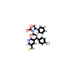 O=C(C[C@@H](c1ccc(Cl)cc1)c1cncc(CF)c1)N1C(=O)OC[C@H]1c1ccccc1